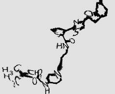 CC(C)(C)OC(=O)NC1CCN(CCCNC(=O)c2sccc2-c2nc(-c3cc4ccccc4o3)cs2)C1